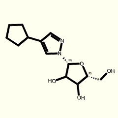 OC[C@H]1O[C@@H](n2cc(C3CCCC3)cn2)C(O)C1O